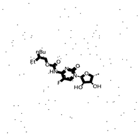 CCCCC(CC)COC(=O)Nc1nc(=O)n([C@@H]2O[C@H](C)[C@@H](O)[C@H]2O)cc1F